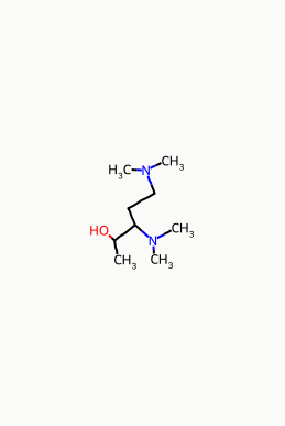 CC(O)C(CCN(C)C)N(C)C